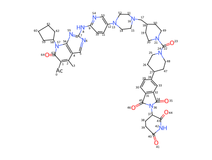 CC(=O)c1c(C)c2cnc(Nc3ccc(N4CCN(CC5CCN(C(=O)N6CCC(c7ccc8c(c7)C(=O)N(C7CCC(=O)NC7=O)C8=O)CC6)CC5)CC4)cn3)nc2n(C2CCCC2)c1=O